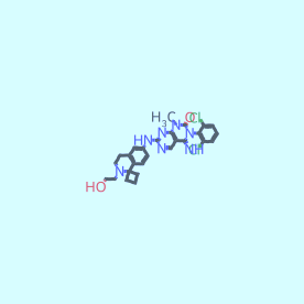 Cn1c(=O)n(-c2c(Cl)cccc2Cl)c(=N)c2cnc(Nc3ccc4c(c3)CCN(CCO)C43CCC3)nc21